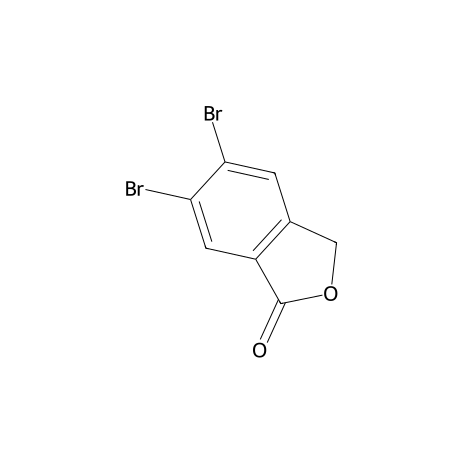 O=C1OCc2cc(Br)c(Br)cc21